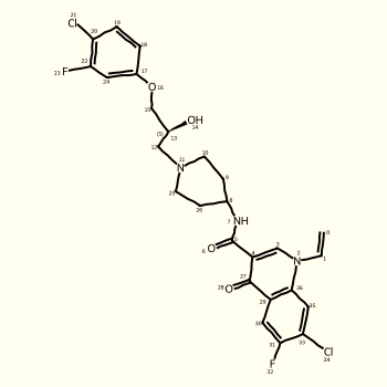 C=Cn1cc(C(=O)NC2CCN(C[C@H](O)COc3ccc(Cl)c(F)c3)CC2)c(=O)c2cc(F)c(Cl)cc21